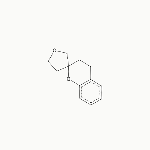 c1ccc2c(c1)CCC1(CCOC1)O2